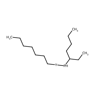 CCCCCC[CH2][Y][PH]C(CC)CCCC